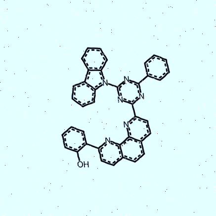 Oc1ccccc1-c1ccc2ccc3ccc(-c4nc(-c5ccccc5)nc(-n5c6ccccc6c6ccccc65)n4)nc3c2n1